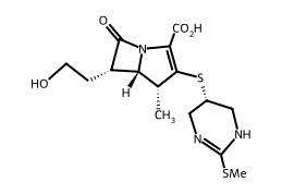 CSC1=NC[C@H](SC2=C(C(=O)O)N3C(=O)[C@@H](CCO)[C@H]3[C@H]2C)CN1